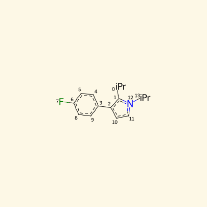 CC(C)c1c(-c2ccc(F)cc2)ccn1C(C)C